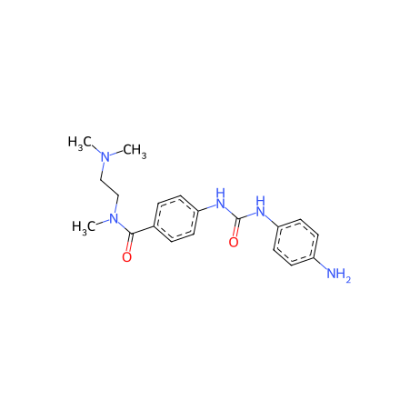 CN(C)CCN(C)C(=O)c1ccc(NC(=O)Nc2ccc(N)cc2)cc1